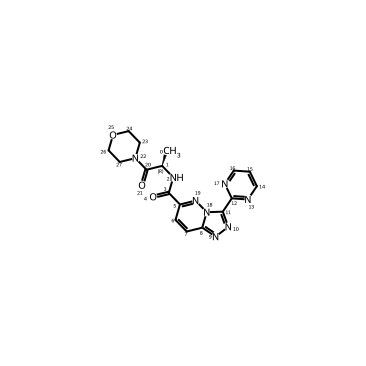 C[C@@H](NC(=O)c1ccc2nnc(-c3ncccn3)n2n1)C(=O)N1CCOCC1